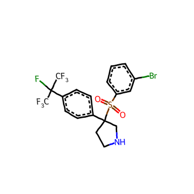 O=S(=O)(c1cccc(Br)c1)C1(c2ccc(C(F)(C(F)(F)F)C(F)(F)F)cc2)CCNC1